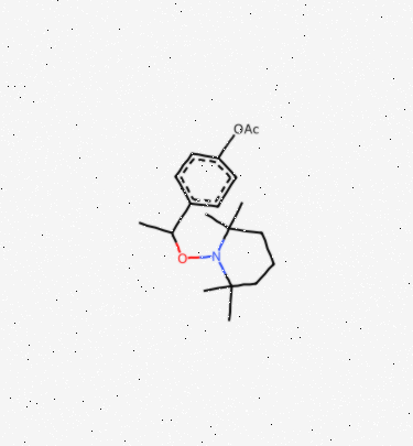 C[C](ON1C(C)(C)CCCC1(C)C)c1ccc(OC(C)=O)cc1